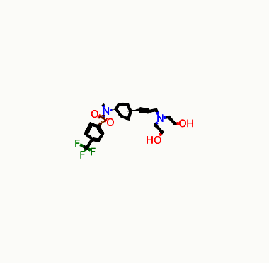 CN([C@H]1CC[C@H](C#CCN(CCO)CCO)CC1)S(=O)(=O)c1ccc(C(F)(F)F)cc1